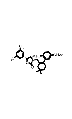 COc1ccc(NC(C)=O)cc1C1=C(CN2C(=O)O[C@H](c3cc(C(F)(F)F)cc(C(F)(F)F)c3)[C@@H]2C)CC(C)(C)CC1